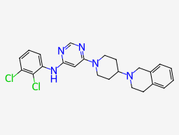 Clc1cccc(Nc2cc(N3CCC(N4CCc5ccccc5C4)CC3)ncn2)c1Cl